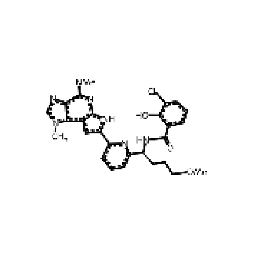 CNc1nc2[nH]c(-c3cccc([C@H](CCCOC)NC(=O)c4cccc(Cl)c4O)n3)cc2c2c1ncn2C